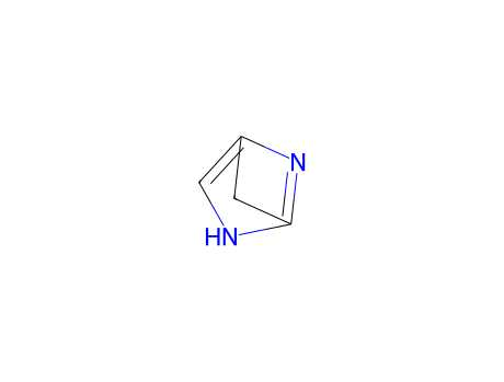 c1[nH]c2nc1C2